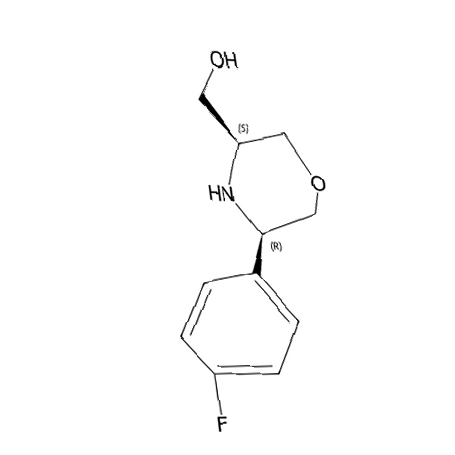 OC[C@H]1COC[C@@H](c2ccc(F)cc2)N1